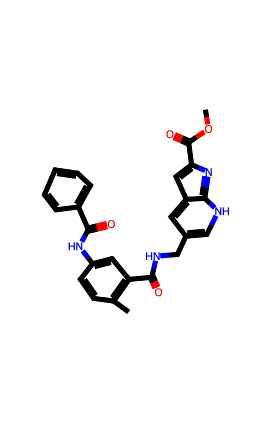 COC(=O)c1cc2cc(CNC(=O)c3cc(NC(=O)c4ccccc4)ccc3C)c[nH]c-2n1